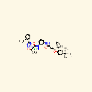 CCC(C)(C)c1ccc(OCCCC(=O)Nc2cccc(NC(=O)C(Cl)(C(=O)C(C)(C)C)n3nnc(-c4ccccc4C)n3)c2)c(C(C)(C)CC)c1